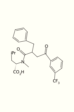 CC(C)C[C@@H](C(=O)O)N(C)C(=O)C(CC(=O)c1cccc(C(F)(F)F)c1)Cc1ccccc1